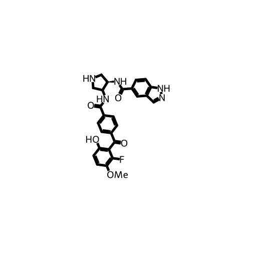 COc1ccc(O)c(C(=O)c2ccc(C(=O)NC3CNC[C@H]3NC(=O)c3ccc4[nH]ncc4c3)cc2)c1F